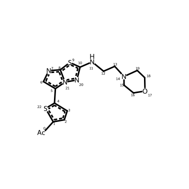 CC(=O)c1ccc(-c2cnc3sc(NCCN4CCOCC4)nn23)s1